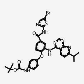 CC(C)c1ccc2c(Nc3cc(C(=O)Nc4ncc(Br)s4)ccc3Oc3ccc(NC(=O)OC(C)(C)C)cc3)ncnc2n1